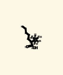 CCCCCC(C(=O)O)S(F)(F)(F)(F)F